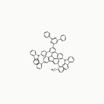 Cc1ccccc1-c1ccc2c(c1)c1cc(-c3ccccc3C)ccc1n2-c1c(-c2ccc(-n3c4ccccc4c4ccccc43)cc2)cc(-c2cc(-c3ccccc3)nc(-c3ccccc3)n2)cc1-c1ccc(-n2c3ccccc3c3ccccc32)cc1